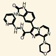 O=C(NNc1ccccn1)c1nc2c(N3CCOCC3)nccn2c1-c1ccc2[nH]c(=O)[nH]c2c1